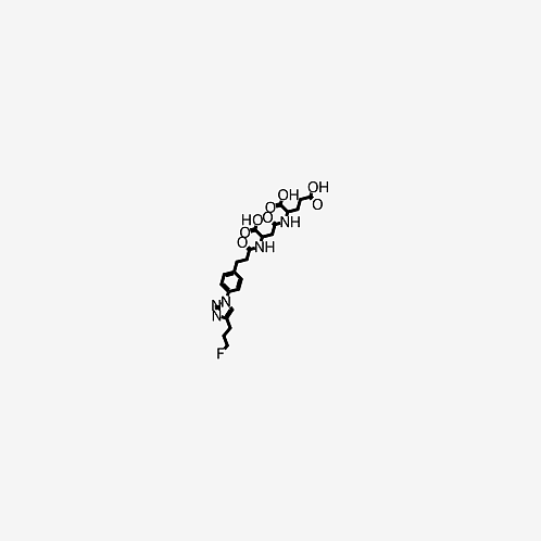 O=C(O)CCC(NC(=O)CC(NC(=O)CCc1ccc(-n2cc(CCCF)nn2)cc1)C(=O)O)C(=O)O